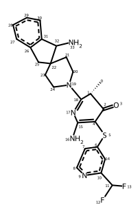 C[C@@H]1C(=O)C(Sc2ccnc(C(F)F)c2)=C(N)N=C1N1CCC2(CC1)Cc1ccccc1C2N